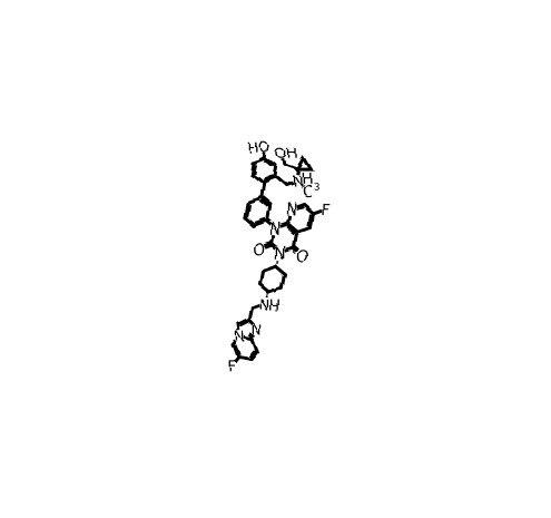 CN(Cc1cc(O)ccc1-c1cccc(-n2c(=O)n([C@H]3CC[C@@H](NCc4cn5cc(F)ccc5n4)CC3)c(=O)c3cc(F)cnc32)c1)C1(CO)CC1